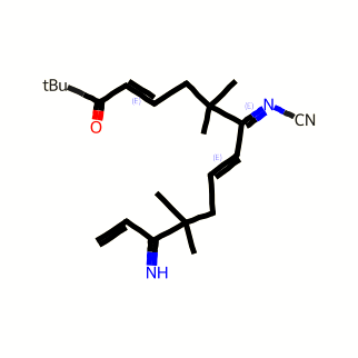 C=CC(=N)C(C)(C)C/C=C/C(=N\C#N)C(C)(C)C/C=C/C(=O)C(C)(C)C